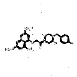 C[C@@H]1CN(Cc2ccc(F)cc2)[C@@H](C)CN1C(=O)COc1cc(S(=O)(=O)O)cc2cc(S(=O)(=O)O)cc(N)c12